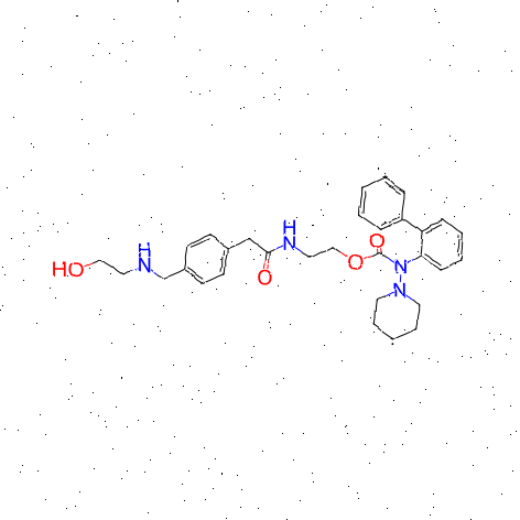 O=C(Cc1ccc(CNCCO)cc1)NCCOC(=O)N(c1ccccc1-c1ccccc1)N1CC[CH]CC1